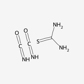 N=C=O.N=C=O.NC(N)=S